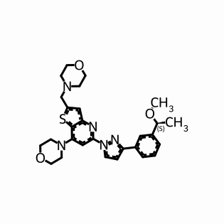 CO[C@@H](C)c1cccc(-c2ccn(-c3cc(N4CCOCC4)c4sc(CN5CCOCC5)cc4n3)n2)c1